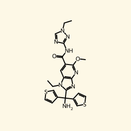 CCn1cnc(NC(=O)c2cc3c(nc2OC)nc(C(N)(c2ccsc2)c2ccsc2)n3CC)n1